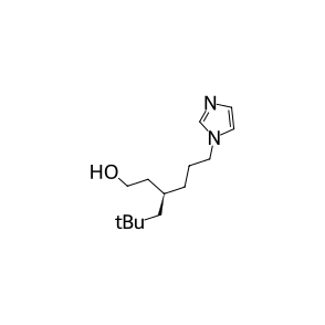 CC(C)(C)C[C@@H](CCO)CCCn1ccnc1